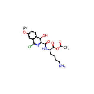 CC(C)Oc1ccc2c(O)c(C(=O)N[C@H](CCCCN)C(=O)OC(=O)C(F)(F)F)nc(Cl)c2c1